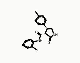 Cc1ccc([C@H]2CNC(=S)[C@@H]2C(=O)Nc2ccccc2F)cc1